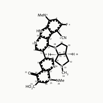 CNc1cc(F)c(C#N)c2c1[nH]c1ncc(-c3cnc4c(c3)c(=O)c(C(=O)O)cn4NC)c(N3CC[C@H]4CN(C)C[C@H]43)c12